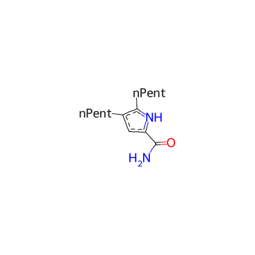 CCCCCc1cc(C(N)=O)[nH]c1CCCCC